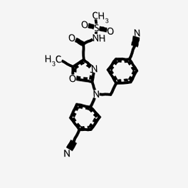 Cc1oc(N(Cc2ccc(C#N)cc2)c2ccc(C#N)cc2)nc1C(=O)NS(C)(=O)=O